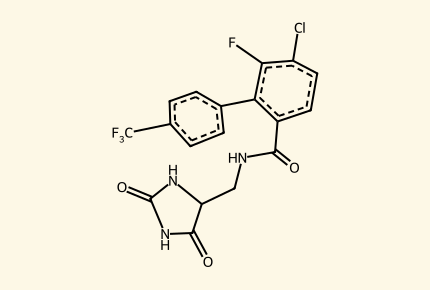 O=C1NC(=O)C(CNC(=O)c2ccc(Cl)c(F)c2-c2ccc(C(F)(F)F)cc2)N1